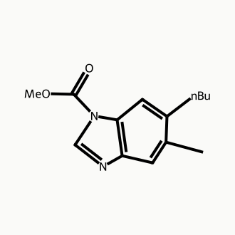 CCCCc1cc2c(cc1C)ncn2C(=O)OC